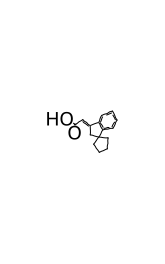 O=C(O)C=C1CC2(CCCC2)c2ccccc21